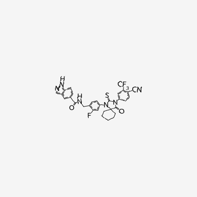 N#Cc1ccc(N2C(=O)C3(CCCCC3)N(c3ccc(CNC(=O)c4ccc5[nH]ncc5c4)c(F)c3)C2=S)cc1C(F)(F)F